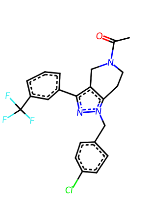 CC(=O)N1CCc2c(c(-c3cccc(C(F)(F)F)c3)nn2Cc2ccc(Cl)cc2)C1